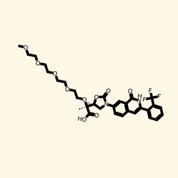 COCCOCCOCCOCCO[C@](C)(C(=O)O)C1CN(c2ccc3cc(-c4ccccc4C(F)(F)F)[nH]c(=O)c3c2)C(=O)O1